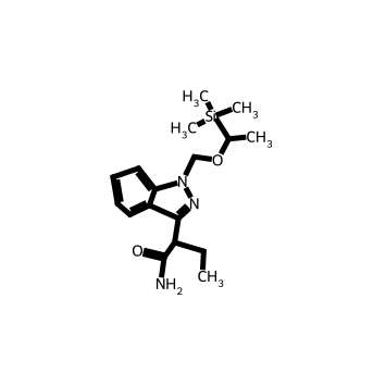 CCC(C(N)=O)c1nn(COC(C)[Si](C)(C)C)c2ccccc12